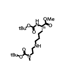 COC(=O)[C@H](CCCCNCCN(C)C(=O)OC(C)(C)C)NC(=O)OC(C)(C)C